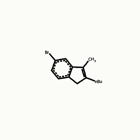 CCCCC1=C(C)c2cc(Br)ccc2C1